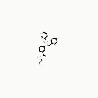 O=C(NCCO)c1cccc(N(Cc2ccc(Cl)cc2)S(=O)(=O)c2cccnc2)c1